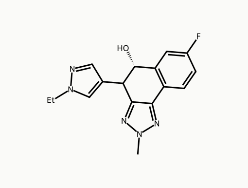 CCn1cc(C2c3nn(C)nc3-c3ccc(F)cc3[C@H]2O)cn1